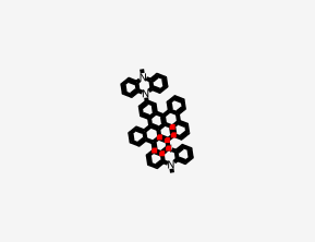 CN1c2ccccc2N(c2ccc3c(-c4ccccc4-c4ccccc4)c4cc(N5c6ccccc6N(C)c6ccccc65)ccc4c(-c4ccccc4-c4ccccc4)c3c2)c2ccccc21